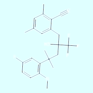 COc1ccc(F)cc1C(C)(C)CC(O)(Cc1cc(C)cc(C)c1C#N)C(F)(F)F